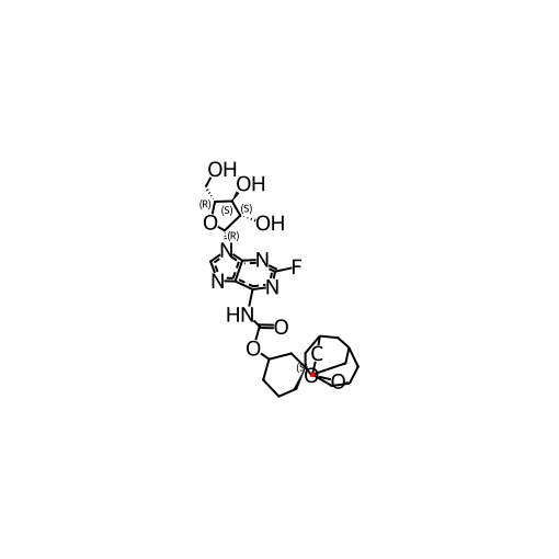 O=C(Nc1nc(F)nc2c1ncn2[C@@H]1O[C@H](CO)[C@@H](O)[C@@H]1O)OC1CCC[C@]2(CC3CC4CC(C3)CC(C4)OO2)C1